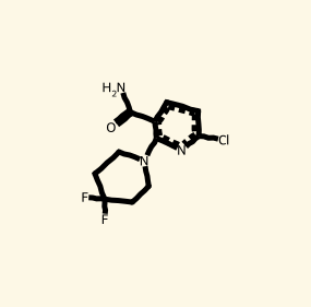 NC(=O)c1ccc(Cl)nc1N1CCC(F)(F)CC1